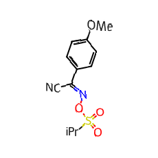 COc1ccc(C(C#N)=NOS(=O)(=O)C(C)C)cc1